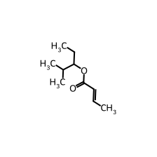 CC=CC(=O)OC(CC)C(C)C